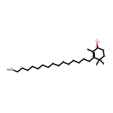 CNCCCCCCCCCCCCCCCC1=C(C)C(O)CCC1(C)C